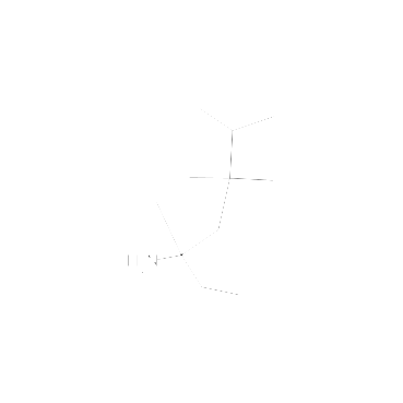 CCC(C)(N)CC(C)(C)C(C)C